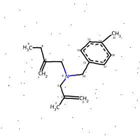 C=C(C)CN(CC(=C)CC)Cc1ccc(C)cc1